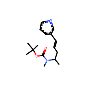 CC(CC=Cc1cccnc1)N(C)C(=O)OC(C)(C)C